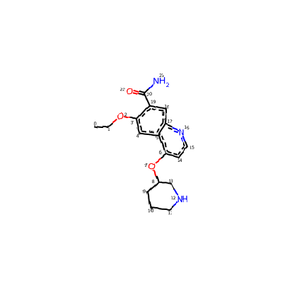 CCOc1cc2c(OC3CCCNC3)ccnc2cc1C(N)=O